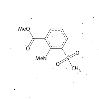 CNc1c(C(=O)OC)cccc1S(C)(=O)=O